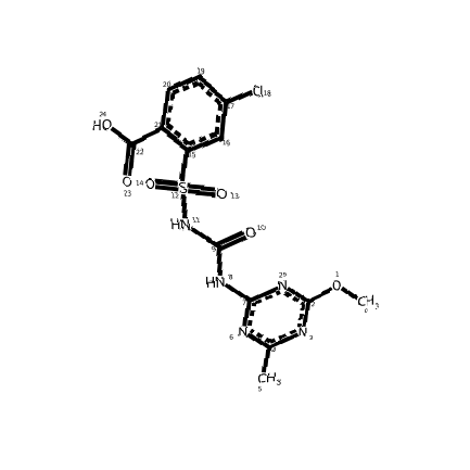 COc1nc(C)nc(NC(=O)NS(=O)(=O)c2cc(Cl)ccc2C(=O)O)n1